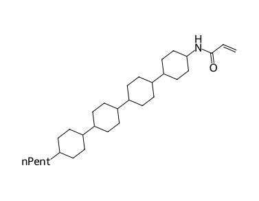 C=CC(=O)NC1CCC(C2CCC(C3CCC(C4CCC(CCCCC)CC4)CC3)CC2)CC1